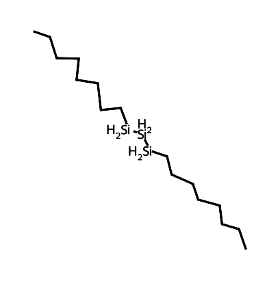 CCCCCCCC[SiH2][SiH2][SiH2]CCCCCCCC